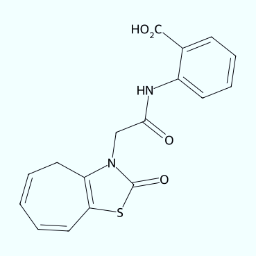 O=C(Cn1c2c(sc1=O)C=CC=CC2)Nc1ccccc1C(=O)O